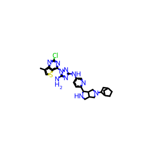 Cc1csc2c(-n3nc(Nc4ccc(C5NCC6CN(C7CC8CCC7C8)CC65)nc4)nc3N)nc(Cl)nc12